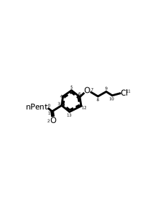 CCCCCC(=O)c1ccc(OCCCCl)cc1